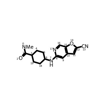 CNC(=O)C1CCC(Nc2cc3cc(C#N)oc3cn2)CC1